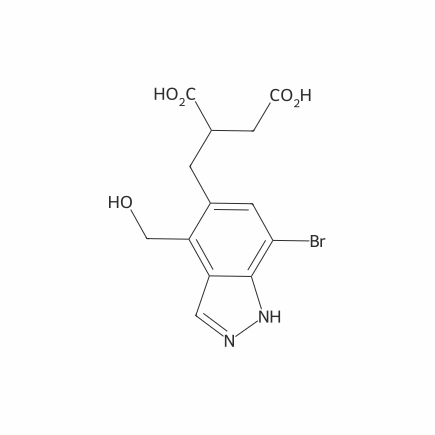 O=C(O)CC(Cc1cc(Br)c2[nH]ncc2c1CO)C(=O)O